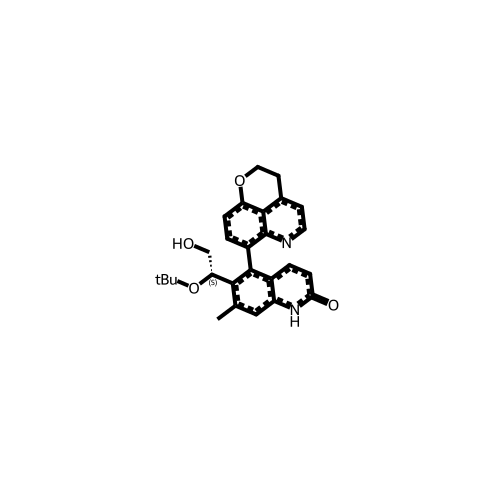 Cc1cc2[nH]c(=O)ccc2c(-c2ccc3c4c(ccnc24)CCO3)c1[C@@H](CO)OC(C)(C)C